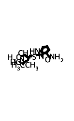 CC1(C)C=C(CSc2nc3c(C(N)=O)cccc3[nH]2)CC(C)(C)N1O